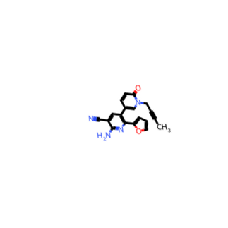 CC#CCn1cc(-c2cc(C#N)c(N)nc2-c2ccco2)ccc1=O